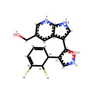 OCc1cnc2[nH]cc(-c3oncc3C3C=CC=C(F)C3F)c2c1